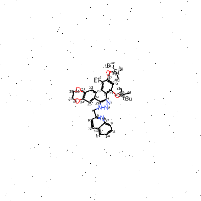 CCc1cc(-c2nnn(Cc3ccc4ccccc4n3)c2-c2ccc3c(c2)OCCO3)c(O[Si](C)(C)C(C)(C)C)cc1O[Si](C)(C)C(C)(C)C